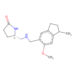 COc1cc2c(cc1CNC[C@@H]1CCC(=O)N1)CCC2C